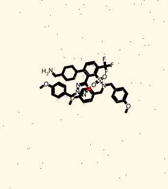 COc1ccc(CN(Cc2ccc(OC)cc2)S(=O)(=O)c2c(C(F)(F)F)ccc(C3CCC(CN)CC3)c2-c2nnn(Cc3ccc(OC)cc3)n2)cc1